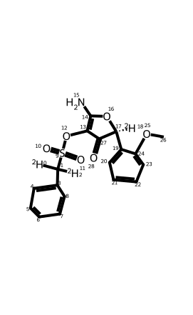 [2H]C([2H])(c1ccccc1)S(=O)(=O)OC1=C(N)O[C@@]([2H])(c2ccccc2OC)C1=O